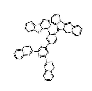 c1ccc2cc(-c3nc(-c4ccc(-n5c6ccccc6c6cc7ccccc7cc65)c(-c5cccc6c5sc5ccccc56)c4)nc(-c4ccc5ccccc5c4)n3)ccc2c1